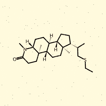 CCSCC(C)[C@H]1CC[C@H]2[C@@H]3CC[C@H]4N(C)C(=O)CC[C@]4(C)[C@H]3CC[C@]12C